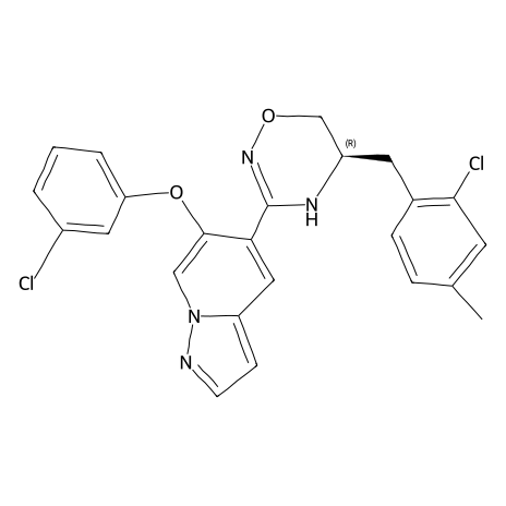 Cc1ccc(C[C@@H]2CON=C(c3cc4ccnn4cc3Oc3cccc(Cl)c3)N2)c(Cl)c1